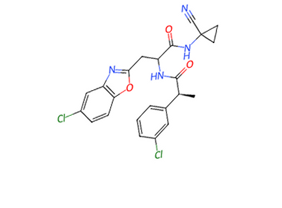 C[C@H](C(=O)NC(Cc1nc2cc(Cl)ccc2o1)C(=O)NC1(C#N)CC1)c1cccc(Cl)c1